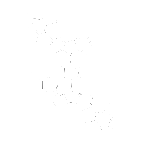 Cc1cc(C)c(-c2ccc3c(c2)c2ccccc2n3-c2cc(C(F)(F)F)c(-n3c4ccccc4c4cc(-c5c(C)cc(C)cc5C)ccc43)cc2-c2cccc(C#N)c2)c(C)c1